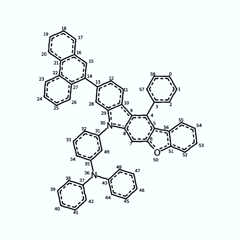 c1ccc(-c2c3c(cc4c2c2ccc(-c5cc6ccccc6c6ccccc56)cc2n4-c2cccc(N(c4ccccc4)c4ccccc4)c2)oc2ccccc23)cc1